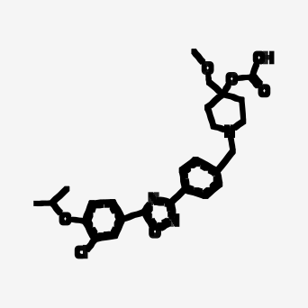 COCC1(OC(=O)O)CCN(Cc2ccc(-c3noc(-c4ccc(OC(C)C)c(Cl)c4)n3)cc2)CC1